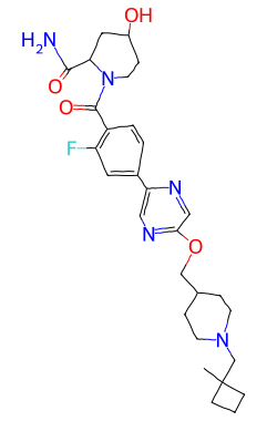 CC1(CN2CCC(COc3cnc(-c4ccc(C(=O)N5CCC(O)CC5C(N)=O)c(F)c4)cn3)CC2)CCC1